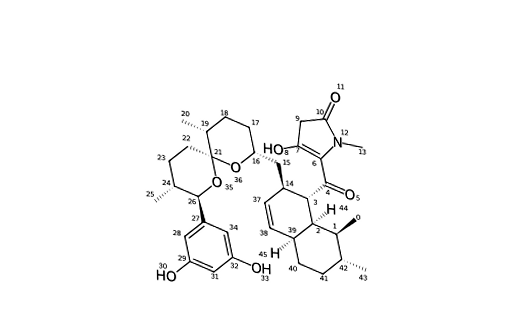 C[C@@H]1[C@@H]2[C@@H](C(=O)C3=C(O)CC(=O)N3C)[C@H](C[C@H]3CC[C@@H](C)[C@@]4(CC[C@@H](C)[C@H](c5cc(O)cc(O)c5)O4)O3)C=C[C@@H]2CC[C@H]1C